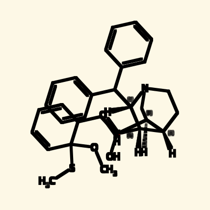 COC1(SC)C=CC=CC1CN[C@H]1[C@H]2CCN(C[C@@H]2C(=O)O)[C@H]1C(c1ccccc1)c1ccccc1